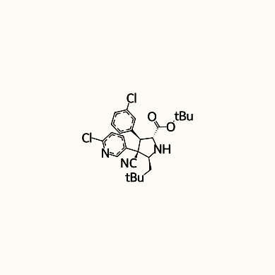 CC(C)(C)C[C@@H]1N[C@@H](C(=O)OC(C)(C)C)[C@H](c2cccc(Cl)c2)[C@@]1(C#N)c1ccc(Cl)nc1